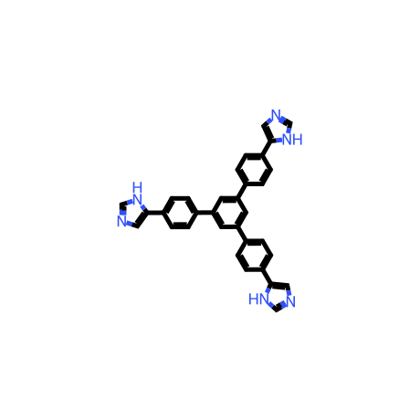 c1ncc(-c2ccc(-c3cc(-c4ccc(-c5cnc[nH]5)cc4)cc(-c4ccc(-c5cnc[nH]5)cc4)c3)cc2)[nH]1